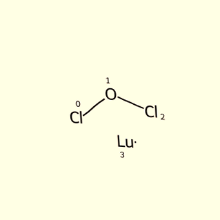 ClOCl.[Lu]